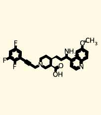 COc1ccc2nccc(C(N)CC[C@@H]3CCN(CC#Cc4cc(F)cc(F)c4F)C[C@@H]3C(=O)O)c2c1